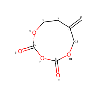 C=C1CCOC(=O)OC(=O)OC1